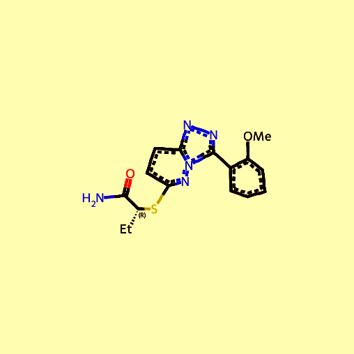 CC[C@@H](Sc1ccc2nnc(-c3ccccc3OC)n2n1)C(N)=O